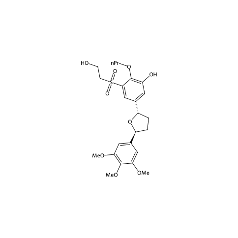 CCCOc1c(O)cc([C@@H]2CC[C@@H](c3cc(OC)c(OC)c(OC)c3)O2)cc1S(=O)(=O)CCO